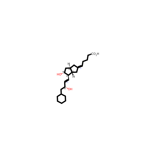 O=C(O)CCC/C=C1\C[C@@H]2C[C@@H](O)[C@H](/C=C/[C@H](O)CC3CCCCC3)[C@H]2C1